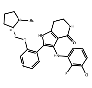 CC(C)(C)N1CCC[C@H]1COc1cnccc1-c1[nH]c2c(c1Nc1cccc(Cl)c1F)C(=O)NCC2